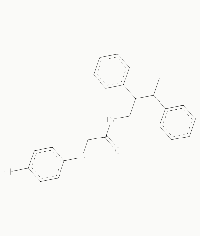 CC(c1ccccc1)C(CNC(=O)COc1ccc(Cl)cc1)c1ccccc1